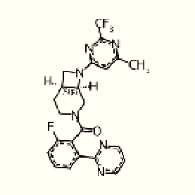 Cc1cc(N2C[C@@H]3CCN(C(=O)c4c(F)cccc4-c4ncccn4)C[C@@H]32)nc(C(F)(F)F)n1